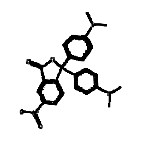 CN(C)c1ccc(C2(c3ccc(N(C)C)cc3)OC(=O)c3cc([N+](=O)[O-])ccc32)cc1